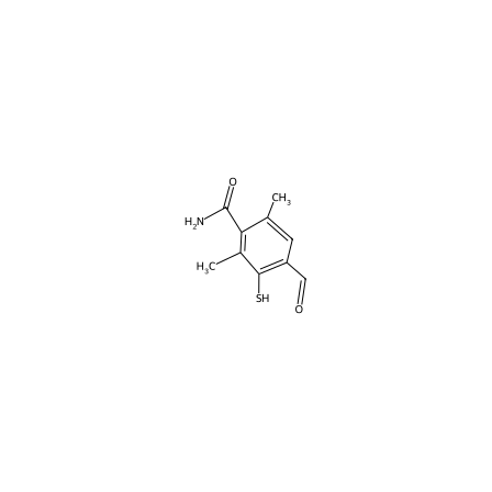 Cc1cc(C=O)c(S)c(C)c1C(N)=O